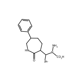 C[C](C)C(C1CCC(c2ccccc2)CNC1=O)N(N)C(=O)O